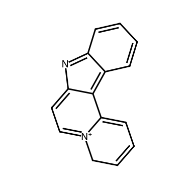 C1=CC[n+]2ccc3c(c2=C1)=c1ccccc1=N3